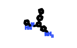 N=C(/N=C/c1cc(-c2ccc(CN)cc2)cc(-c2ccc(-c3ccccc3)cc2)c1)c1ccccc1